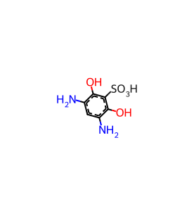 Nc1cc(N)c(O)c(S(=O)(=O)O)c1O